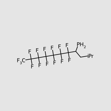 CC(C)CC(P)C(F)(F)C(F)(F)C(F)(F)C(F)(F)C(F)(F)C(F)(F)C(F)(F)F